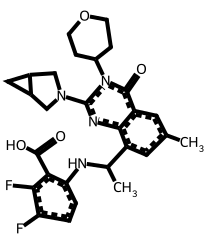 Cc1cc(C(C)Nc2ccc(F)c(F)c2C(=O)O)c2nc(N3CC4CC4C3)n(C3CCOCC3)c(=O)c2c1